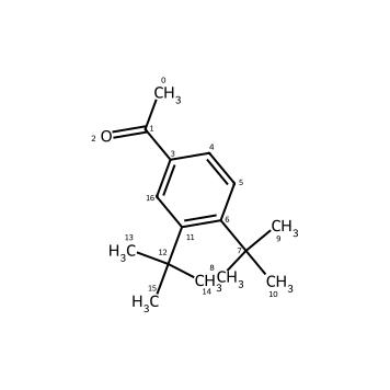 CC(=O)c1ccc(C(C)(C)C)c(C(C)(C)C)c1